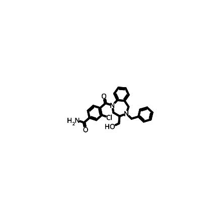 NC(=O)c1ccc(C(=O)N2CC(CO)N(Cc3ccccc3)Cc3ccccc32)c(Cl)c1